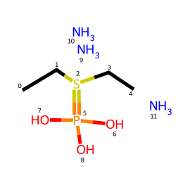 CCS(CC)=P(O)(O)O.N.N.N